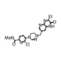 CCc1nc2ncc(CN3CCN(c4ccc(C(=O)NC)nc4Cl)C=N3)cc2[nH]c1=O